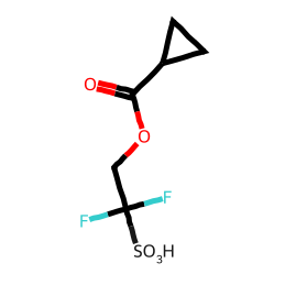 O=C(OCC(F)(F)S(=O)(=O)O)C1CC1